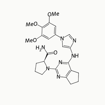 COc1cc(-n2cnc(Nc3nc(N4CCC[C@H]4C(N)=O)nc4c3CCC4)c2)cc(OC)c1OC